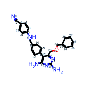 N#Cc1ccc(NCc2ccc(-c3c(N)nc(N)nc3COCc3ccccc3)cc2)cc1